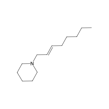 CCCCCC=CCN1CCCCC1